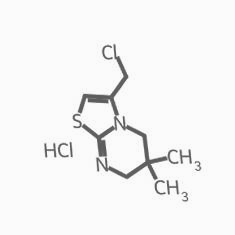 CC1(C)CN=C2SC=C(CCl)N2C1.Cl